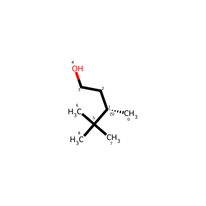 C[C@@H](CCO)C(C)(C)C